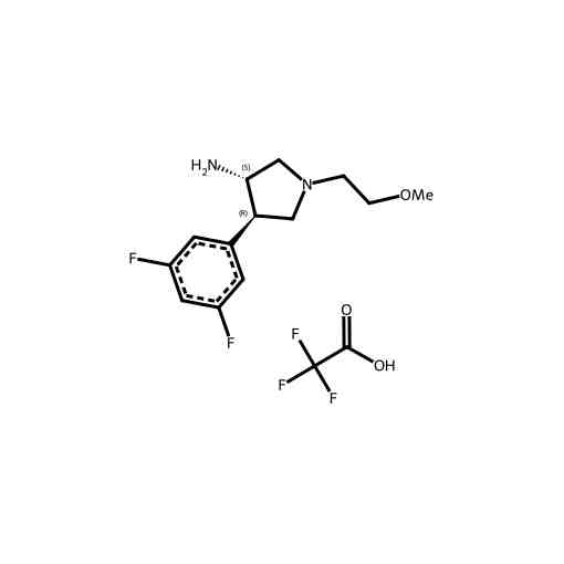 COCCN1C[C@@H](N)[C@H](c2cc(F)cc(F)c2)C1.O=C(O)C(F)(F)F